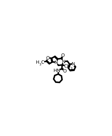 Cc1cc2c(cc3n2CC(C)(C(=O)NC2CCCCCC2)N(Cc2ccccn2)C3=O)o1